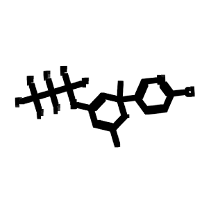 CC1=CC(SC(F)(F)C(F)(F)C(F)(F)F)=CC(C)(c2ccc(Cl)nc2)[CH]1